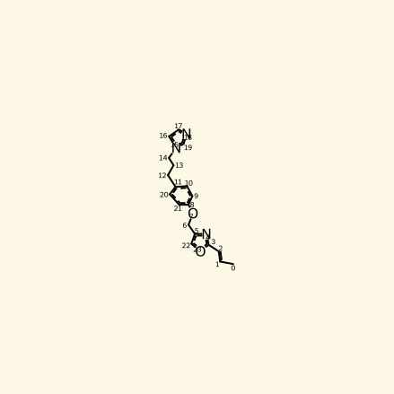 CC=Cc1nc(COc2ccc(CCCn3ccnc3)cc2)co1